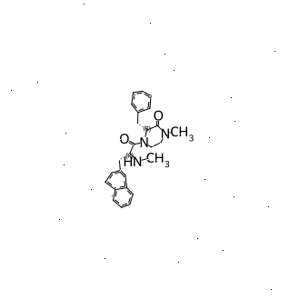 CN[C@H](Cc1ccc2ccccc2c1)C(=O)N1CCN(C)C(=O)[C@H]1Cc1ccccc1